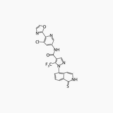 O=C(Nc1cnc(-c2ncco2)c(Cl)c1)c1cnn(-c2cccc3c(=S)[nH]ccc23)c1C(F)(F)F